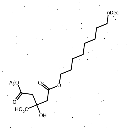 CCCCCCCCCCCCCCCCCCOC(=O)CC(O)(CC(=O)OC(C)=O)C(=O)O